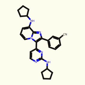 N#Cc1cccc(-c2nc3c(NC4CCCC4)cccn3c2-c2ccnc(NC3CCCC3)n2)c1